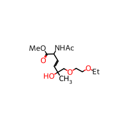 CCOCCOCC(C)(O)/C=C/C(NC(C)=O)C(=O)OC